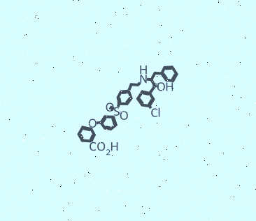 O=C(O)c1cccc(Oc2cccc(S(=O)(=O)c3ccc(CCNC(Cc4ccccc4)[C@H](O)c4cccc(Cl)c4)cc3)c2)c1